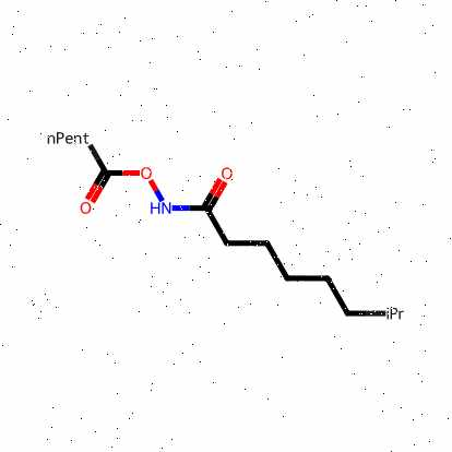 CCCCCC(=O)ONC(=O)CCCCCC(C)C